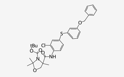 CC(C)(C)OC(=O)N1C(C)(C)OCC1(C)C(=O)Nc1ccc(Sc2cccc(OCc3ccccc3)c2)cc1Cl